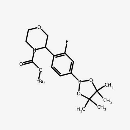 CC(C)(C)OC(=O)N1CCOCC1c1ccc(B2OC(C)(C)C(C)(C)O2)cc1F